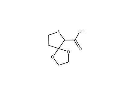 O=C(O)C1SCCC12OCCO2